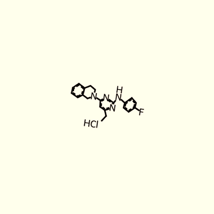 CCc1cc(N2CCc3ccccc3C2)nc(Nc2ccc(F)cc2)n1.Cl